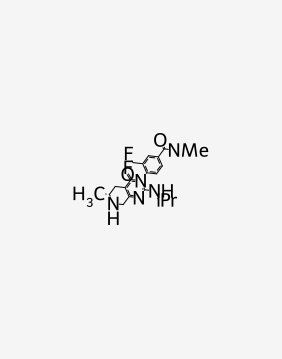 CNC(=O)c1ccc(-n2c(NC(C)C)nc3c(c2=O)C[C@@H](C)NC3)c(C(F)F)c1